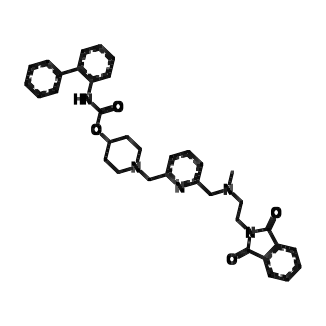 CN(CCN1C(=O)c2ccccc2C1=O)Cc1cccc(CN2CCC(OC(=O)Nc3ccccc3-c3ccccc3)CC2)n1